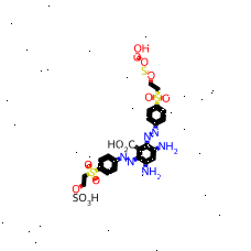 Nc1cc(N)c(/N=N/c2ccc(S(=O)(=O)CCOS(=O)(=O)O)cc2)c(C(=O)O)c1/N=N/c1ccc(S(=O)(=O)CCOSOOO)cc1